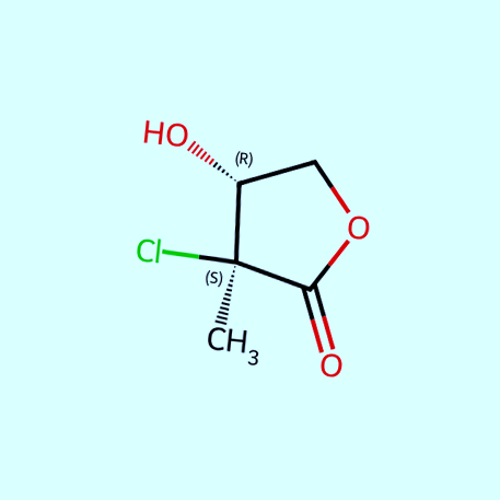 C[C@@]1(Cl)C(=O)OC[C@H]1O